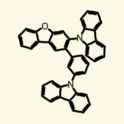 c1cc(-c2cc3c(cc2-n2c4ccccc4c4ccccc42)oc2ccccc23)cc(-n2c3ccccc3c3ccccc32)c1